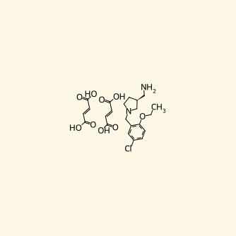 CCOc1ccc(Cl)cc1CN1CC[C@@H](CN)C1.O=C(O)/C=C/C(=O)O.O=C(O)/C=C/C(=O)O